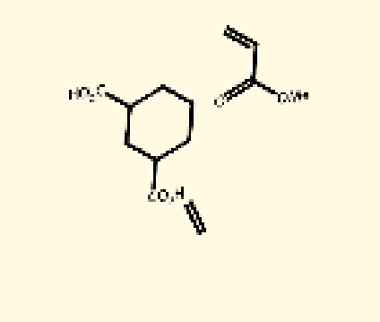 C=C.C=CC(=O)OC.O=C(O)C1CCCC(C(=O)O)C1